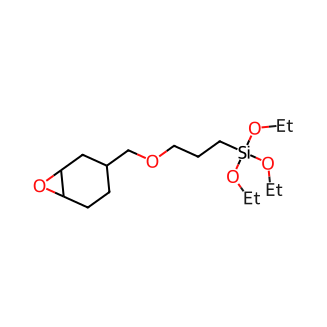 CCO[Si](CCCOCC1CCC2OC2C1)(OCC)OCC